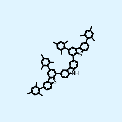 Cc1cc(C)c(-c2ccc3sc4c(-c5ccc6[nH]c7ccc(-c8cc(-c9c(C)cc(C)cc9C)cc9c8sc8ccc(-c%10c(C)cc(C)cc%10C)cc89)cc7c6c5)cc(-c5c(C)cc(C)cc5C)cc4c3c2)c(C)c1